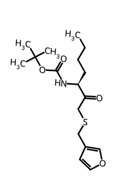 CCCC[C@H](NC(=O)OC(C)(C)C)C(=O)CSCc1ccoc1